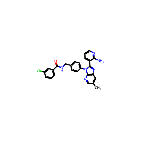 Cc1cnc2c(c1)nc(-c1cccnc1N)n2-c1ccc(CNC(=O)c2cccc(Cl)c2)cc1